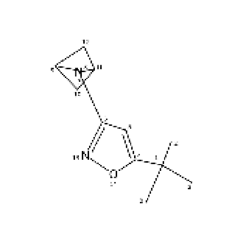 CC(C)(C)c1cc(N2CC3CC2C3)no1